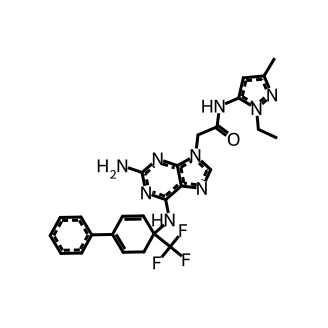 CCn1nc(C)cc1NC(=O)Cn1cnc2c(NC3(C(F)(F)F)C=CC(c4ccccc4)=CC3)nc(N)nc21